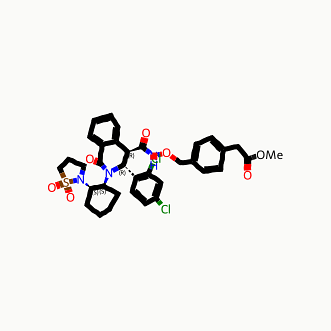 COC(=O)Cc1ccc(CONC(=O)[C@@H]2c3ccccc3C(=O)N([C@H]3CCCC[C@@H]3N3CCCS3(=O)=O)[C@H]2c2ccc(Cl)cc2Cl)cc1